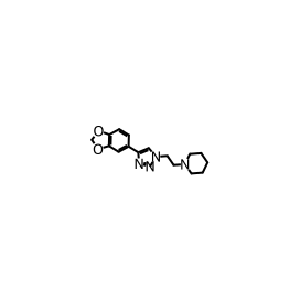 c1cc2c(cc1-c1cn(CCN3CCCCC3)nn1)OCO2